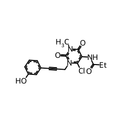 CCC(=O)Nc1c(Cl)n(CC#Cc2cccc(O)c2)c(=O)n(C)c1=O